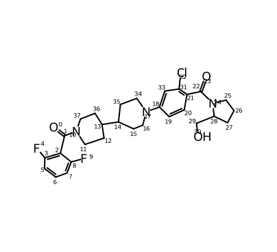 O=C(c1c(F)cccc1F)N1CCC(C2CCN(c3ccc(C(=O)N4CCCC4CO)c(Cl)c3)CC2)CC1